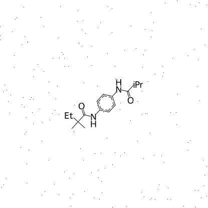 CCC(C)(C)C(=O)Nc1ccc(NC(=O)C(C)C)cc1